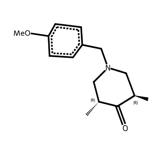 COc1ccc(CN2C[C@@H](C)C(=O)[C@H](C)C2)cc1